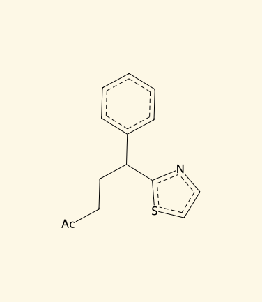 CC(=O)CCC(c1ccccc1)c1nccs1